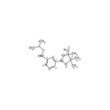 CC(C)CNc1cc(B2OC(C)(C)C(C)(C)O2)ccn1